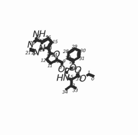 CCOC(=O)C(NP(OCC1CCC(c2ccc3c(N)ncnn23)O1)Oc1ccccc1)C(C)C